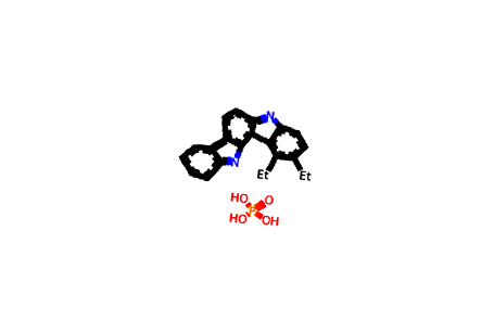 CCc1ccc2c(c1CC)-c1c3c(ccc1=N2)=c1ccccc1=N3.O=P(O)(O)O